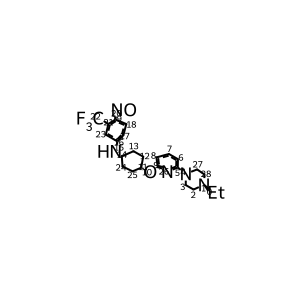 CCN1CCN(c2cccc(O[C@H]3CC[C@H](Nc4ccc(N=O)c(C(F)(F)F)c4)CC3)n2)CC1